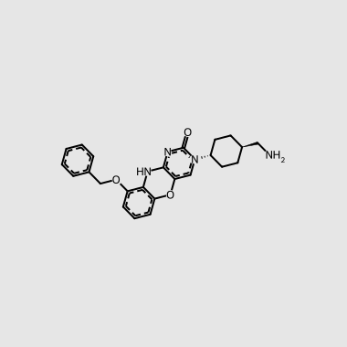 NC[C@H]1CC[C@H](n2cc3c(nc2=O)Nc2c(OCc4ccccc4)cccc2O3)CC1